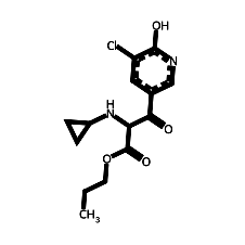 CCCOC(=O)C(NC1CC1)C(=O)c1cnc(O)c(Cl)c1